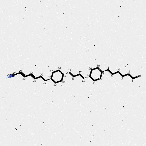 CCCCCCC[C@H]1CC[C@H](CCCC[C@H]2CC[C@H](CC/C=C/C=C/C#N)CC2)CC1